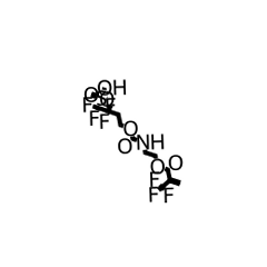 C=C(C(=O)OCCNC(=O)OCCC(F)(F)C(F)(F)S(=O)(=O)O)C(F)(F)F